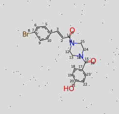 O=C(/C=C/c1ccc(Br)cc1)N1CCN(C(=O)c2ccc(O)cc2)CC1